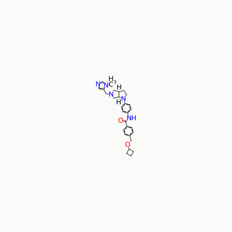 Cn1cncc1CN1C[C@H]2CCN(c3ccc(NC(=O)c4ccc(COC5CCC5)cc4)cc3)[C@H]2C1